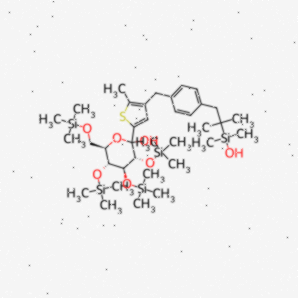 Cc1sc(C2(O)O[C@H](CO[Si](C)(C)C)[C@@H](O[Si](C)(C)C)[C@H](O[Si](C)(C)C)[C@H]2O[Si](C)(C)C)cc1Cc1ccc(CC(C)(C)[Si](C)(C)O)cc1